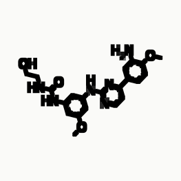 COc1cc(NC(=O)NCCO)cc(Nc2nccc(-c3ccc(OC)c(N)c3)n2)c1